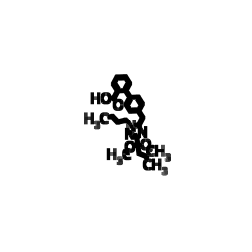 CCCCn1nc(C(CCC)(OC)OC)nc1Cc1ccc(-c2ccccc2C(=O)O)cc1